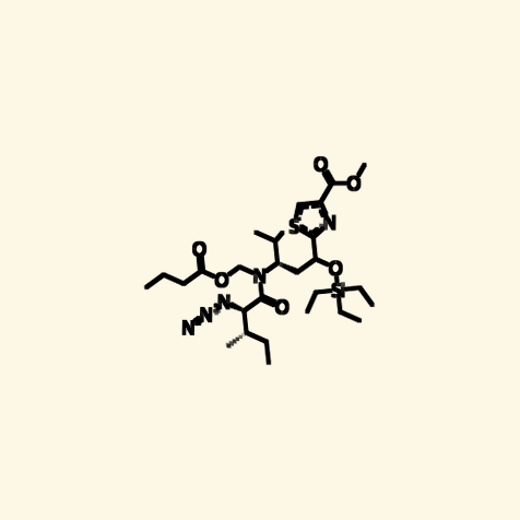 CCCC(=O)OCN(C(=O)[C@H](N=[N+]=[N-])[C@@H](C)CC)[C@H](CC(O[Si](CC)(CC)CC)c1nc(C(=O)OC)cs1)C(C)C